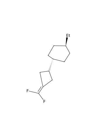 CC[C@H]1CC[C@H](C2CC(=C(F)F)C2)CC1